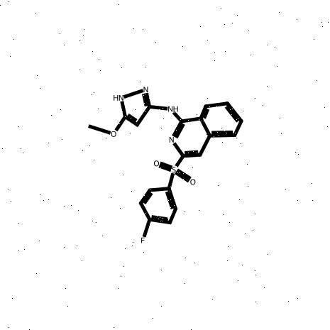 COc1cc(Nc2nc(S(=O)(=O)c3ccc(F)cc3)cc3ccccc23)n[nH]1